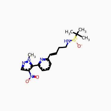 Cn1ncc([N+](=O)[O-])c1-c1cccc(C=CCCN[S@@+]([O-])C(C)(C)C)n1